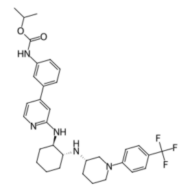 CC(C)OC(=O)Nc1cccc(-c2ccnc(N[C@@H]3CCCC[C@H]3N[C@H]3CCCN(c4ccc(C(F)(F)F)cc4)C3)c2)c1